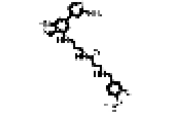 Nc1cc(-c2cc(NCCCNC(=O)CCNCc3ccc(OC(F)(F)F)c(Cl)c3)c3cn[nH]c3c2)ccn1